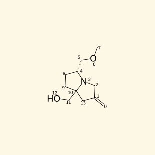 C=C1CN2[C@@H](COC)CCC2(CO)C1